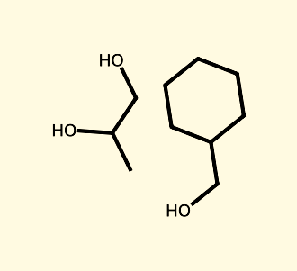 CC(O)CO.OCC1CCCCC1